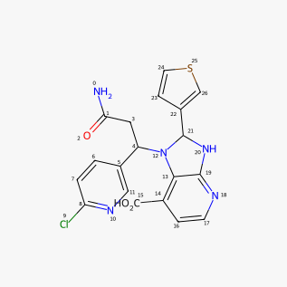 NC(=O)CC(c1ccc(Cl)nc1)N1c2c(C(=O)O)ccnc2NC1c1ccsc1